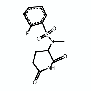 CN(C1CCC(=O)NC1=O)S(=O)(=O)c1ccccc1F